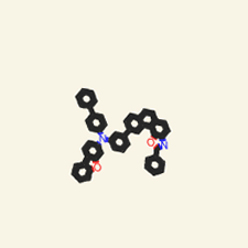 c1ccc(-c2ccc(N(c3cccc(-c4ccc5ccc6ccc7nc(-c8ccccc8)oc7c6c5c4)c3)c3ccc4c(c3)oc3ccccc34)cc2)cc1